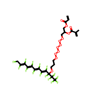 C=CC(=O)OCC(COOOOOOOCCCOC(F)(/C(F)=C(F)/C(F)=C(F)/C(F)=C(F)/C(F)=C(\F)CF)C(F)(F)C(F)(F)F)OC(=O)C(=C)C